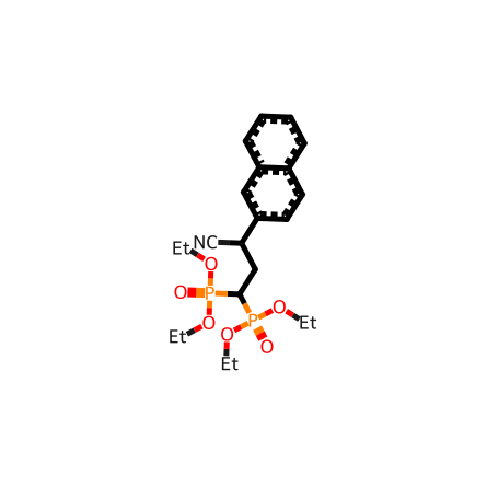 CCOP(=O)(OCC)C(CC(C#N)c1ccc2ccccc2c1)P(=O)(OCC)OCC